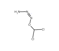 N/N=N\OC(Cl)Cl